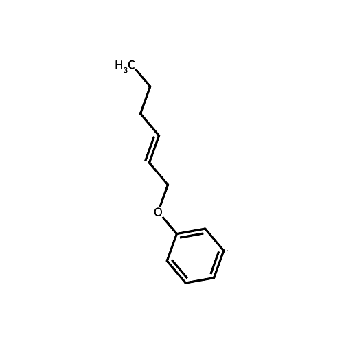 CCC/C=C/COc1c[c]ccc1